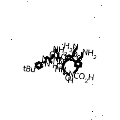 Cc1nc(-c2ccc(C(C)(C)C)cc2)ncc1C(=O)NC(CCN)C(=O)N(C)C1C(=O)NC(C)C(=O)NC(C(=O)O)Cc2ccc(OCCN)c(c2)-c2cc1ccc2OCCN